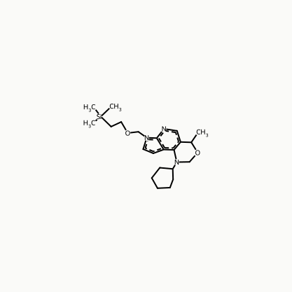 CC1OCN(C2CCCCC2)c2c1cnc1c2ccn1COCC[Si](C)(C)C